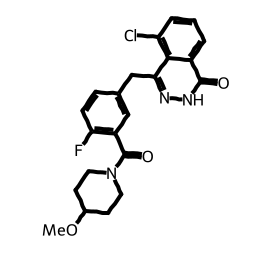 COC1CCN(C(=O)c2cc(Cc3n[nH]c(=O)c4cccc(Cl)c34)ccc2F)CC1